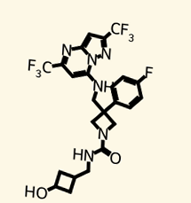 O=C(NCC1CC(O)C1)N1CC(CNc2cc(C(F)(F)F)nc3cc(C(F)(F)F)nn23)(c2ccc(F)cc2)C1